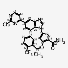 C[C@@H](Oc1cc(-n2cnc3cc(-c4ccnc(Cl)n4)ccc32)sc1C(N)=O)c1ccccc1C(F)(F)F